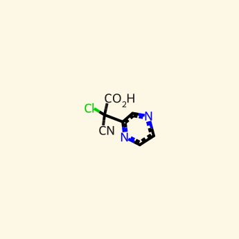 N#CC(Cl)(C(=O)O)c1cnccn1